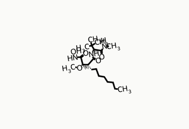 CCCCCCCC[C@@H](C(=O)N[C@H](C(=O)NC)C(C)(C)C)[C@H](OC)C(=O)NO